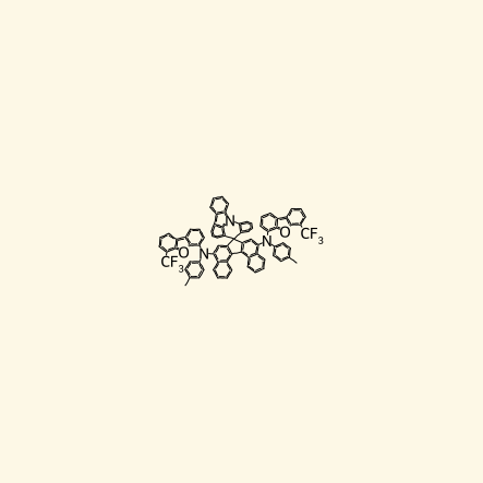 Cc1ccc(N(c2cc3c(c4ccccc24)-c2c(cc(N(c4ccc(C)cc4)c4cccc5c4oc4c(C(F)(F)F)cccc45)c4ccccc24)C32c3ccccc3-n3c4ccccc4c4cccc2c43)c2cccc3c2oc2c(C(F)(F)F)cccc23)cc1